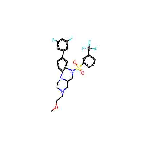 COCCN1CCN2c3ccc(-c4cc(F)cc(F)c4)cc3N(S(=O)(=O)c3cccc(C(F)(F)F)c3)CC2C1